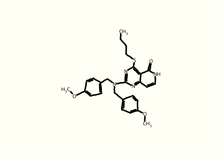 CCCCSc1nc(N(Cc2ccc(OC)cc2)Cc2ccc(OC)cc2)nc2cc[nH]c(=O)c12